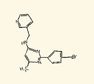 Cc1cc(NCc2cccnc2)nc(-c2ccc(Br)cc2)n1